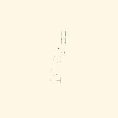 Cc1ccc(-c2ccc3c(c2)cc2n3CCNCC2)cc1